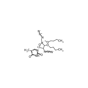 CCCCOC[C@@]1(CN=[N+]=[N-])O[C@@H](n2cc(C)c(=O)[nH]c2=O)C(N=[N+]=[N-])C1OCCCC